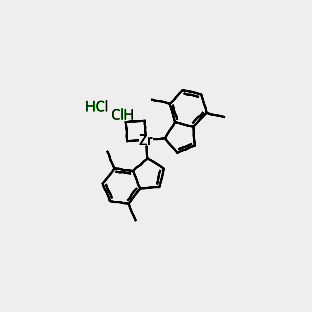 Cc1ccc(C)c2c1C=C[CH]2[Zr]1([CH]2C=Cc3c(C)ccc(C)c32)[CH2]C[CH2]1.Cl.Cl